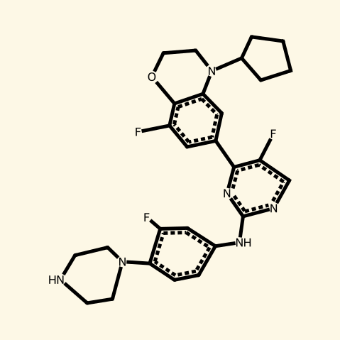 Fc1cc(Nc2ncc(F)c(-c3cc(F)c4c(c3)N(C3CCCC3)CCO4)n2)ccc1N1CCNCC1